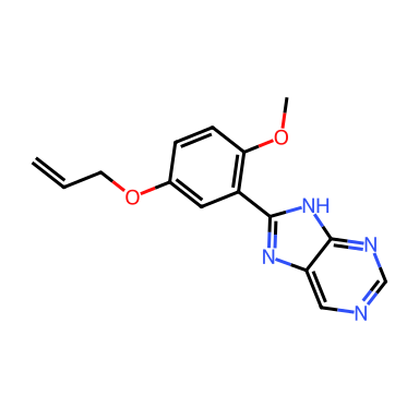 C=CCOc1ccc(OC)c(-c2nc3cncnc3[nH]2)c1